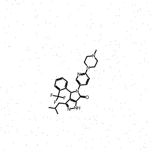 CC(C)Cc1n[nH]c2c1C(c1ccccc1C(F)(F)F)N(c1ccc(N3CCN(C)CC3)nc1)C2=O